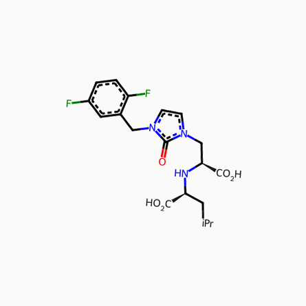 CC(C)C[C@H](N[C@@H](Cn1ccn(Cc2cc(F)ccc2F)c1=O)C(=O)O)C(=O)O